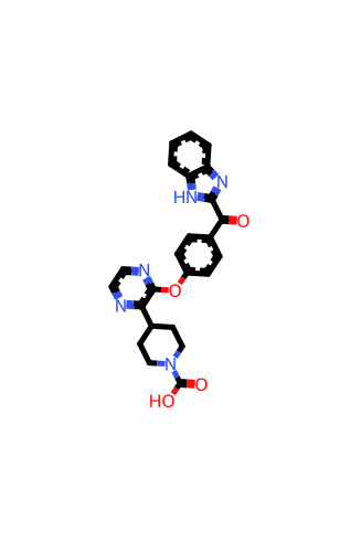 O=C(c1ccc(Oc2nccnc2C2CCN(C(=O)O)CC2)cc1)c1nc2ccccc2[nH]1